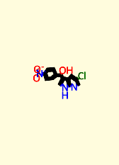 O=[N+]([O-])c1ccc(C(O)c2c[nH]c3ncc(Cl)cc23)cc1